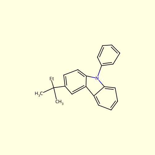 CCC(C)(C)c1ccc2c(c1)c1ccccc1n2-c1ccccc1